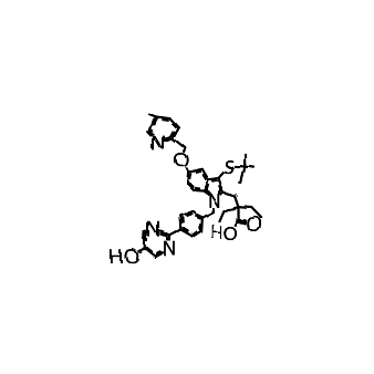 CCC(CC)(Cc1c(SC(C)(C)C)c2cc(OCc3ccc(C)cn3)ccc2n1Cc1ccc(-c2ncc(O)cn2)cc1)C(=O)O